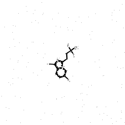 Fc1ccc2c(I)nc(CCC(F)(F)C(F)(F)F)n2c1